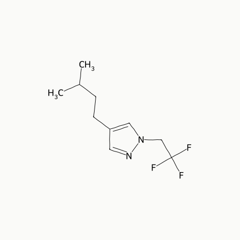 CC(C)CCc1cnn(CC(F)(F)F)c1